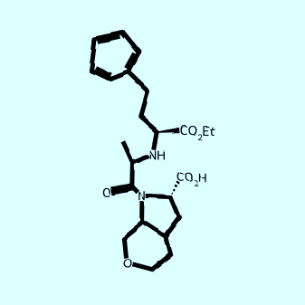 CCOC(=O)[C@H](CCc1ccccc1)NC(C)C(=O)N1C2COCCC2C[C@H]1C(=O)O